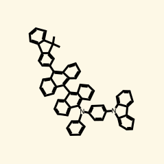 CC1(C)c2ccccc2-c2ccc(-c3c4ccccc4c(-c4c5ccccc5c(N(c5ccccc5)c5ccc(-n6c7ccccc7c7ccccc76)cc5)c5ccccc45)c4ccccc34)cc21